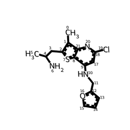 Cc1c(CC(C)N)sc2c(NCc3ccco3)cc(Cl)nc12